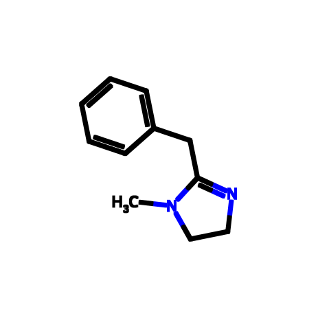 CN1CCN=C1Cc1ccccc1